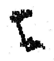 Cc1ncsc1-c1ccc(CNC(=O)[C@@H]2C[C@@H](O)CN2C(=O)C(NC(=O)CCOCCOCCOCCOCCOCCC(=O)NCCc2cccc(-c3ccc4nc(-c5cccnc5N)n(-c5ccc(C6(N)CCC6)cc5)c4n3)c2)C(C)(C)C)cc1